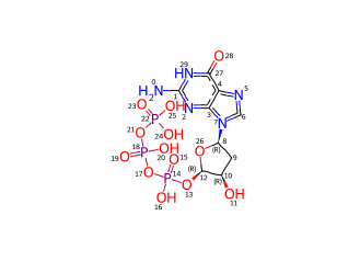 Nc1nc2c(ncn2[C@H]2C[C@@H](O)[C@@H](OP(=O)(O)OP(=O)(O)OP(=O)(O)O)O2)c(=O)[nH]1